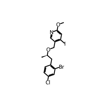 COc1cc(I)c(CO[C@H](C)Cc2ccc(Cl)cc2Br)cn1